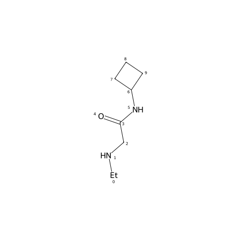 CCNCC(=O)NC1CCC1